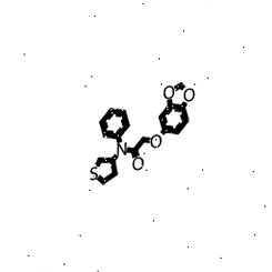 O=C(COc1ccc2c(c1)OCO2)N(c1ccccc1)C1CCSC1